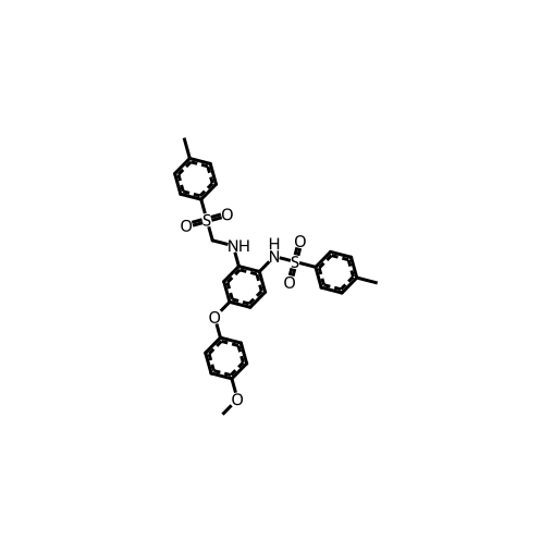 COc1ccc(Oc2ccc(NS(=O)(=O)c3ccc(C)cc3)c(NCS(=O)(=O)c3ccc(C)cc3)c2)cc1